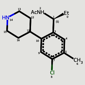 CC[C@H](NC(C)=O)c1cc(C)c(Cl)cc1C1CCNCC1